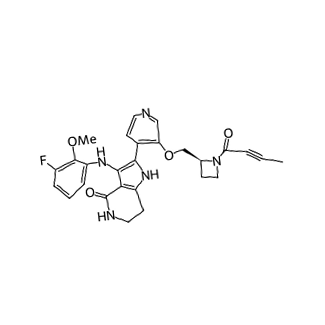 CC#CC(=O)N1CC[C@H]1COc1cnccc1-c1[nH]c2c(c1Nc1cccc(F)c1OC)C(=O)NCC2